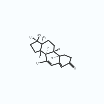 CC1=CC2=CC(=O)CC[C@@H]2[C@H]2CC[C@@]3(C)[C@@H](CC[C@]3(C)O)[C@H]12